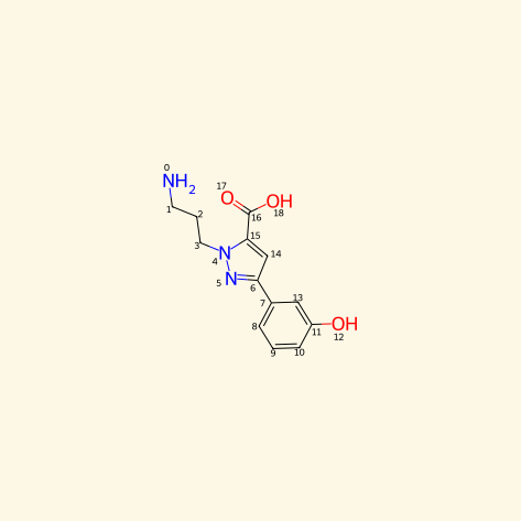 NCCCn1nc(-c2cccc(O)c2)cc1C(=O)O